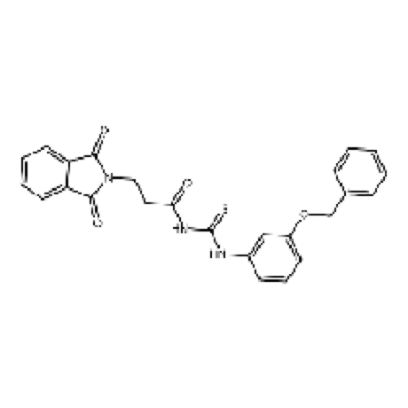 O=C(CCN1C(=O)c2ccccc2C1=O)NC(=S)Nc1cccc(OCc2ccccc2)c1